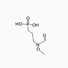 CON(C=O)CCCP(=O)(O)O